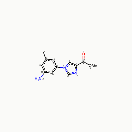 COC(=O)c1cn(-c2cc(C)cc(N)c2)cn1